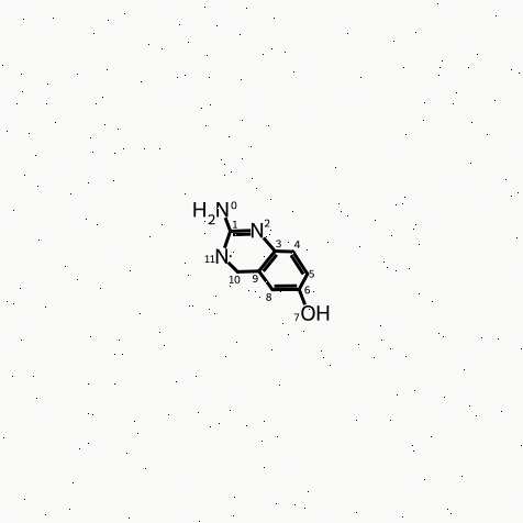 NC1=Nc2ccc(O)cc2C[N]1